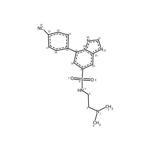 CN(C)CCNS(=O)(=O)c1cc(-c2ccc(C#N)cc2)n2ncnc2c1